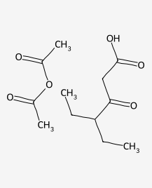 CC(=O)OC(C)=O.CCC(CC)C(=O)CC(=O)O